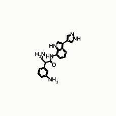 NCC(C(=O)Nc1cccc2c(-c3cn[nH]c3)c[nH]c12)c1cccc(N)c1